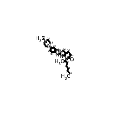 CCCCCCC(C)n1c(=O)ccc2cnc(Nc3ccc(N4CCN(C)CC4)cc3)nc21